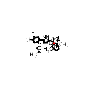 COCOc1cc(Cl)c(F)cc1-c1ccc(N(C)C2CC3(C)CC[C@](C)(C2)N3C(=O)O)nn1